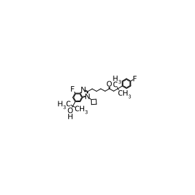 CC(C)(O)c1cc(F)c2nc(CCCCC(=O)CC(C)(C)c3ccc(F)cc3)n(C3CCC3)c2c1